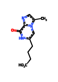 Cc1cnc2c(=O)[nH]c(CCCC(=O)O)cn12